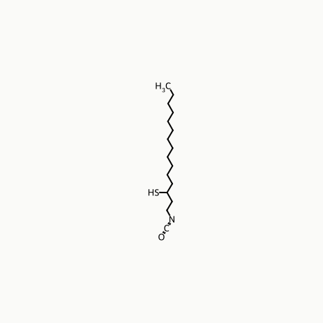 CCCCCCCCCCCCC(S)CCN=C=O